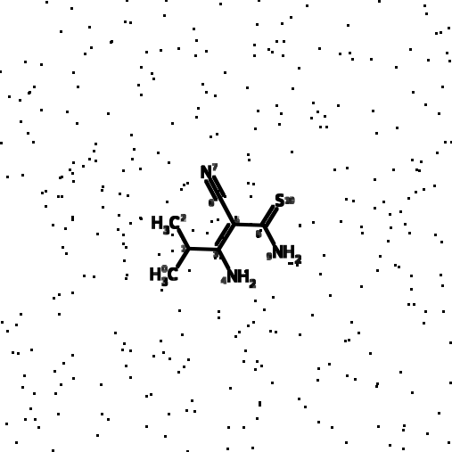 CC(C)/C(N)=C(\C#N)C(N)=S